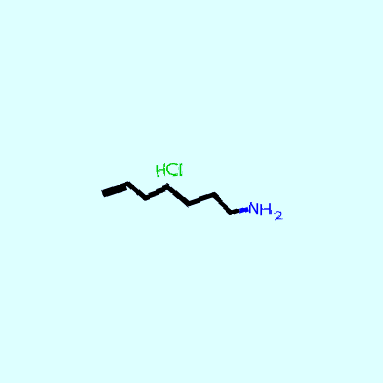 C=CCCCCCN.Cl